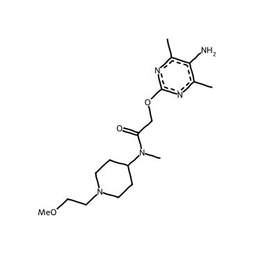 COCCN1CCC(N(C)C(=O)COc2nc(C)c(N)c(C)n2)CC1